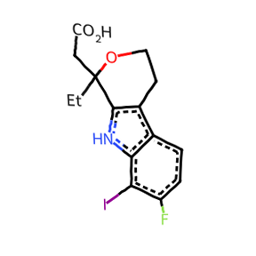 CCC1(CC(=O)O)OCCc2c1[nH]c1c(I)c(F)ccc21